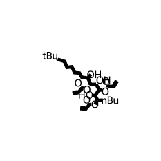 C=CC(=O)OC(CCCC)C(O)C(OC(=O)C=C)C(O)C(OC(=O)C=C)C(O)CCCCCCCC(C)(C)C